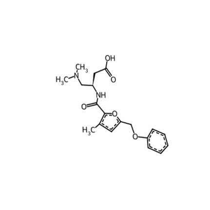 Cc1cc(COc2ccccc2)oc1C(=O)N[C@H](CC(=O)O)CN(C)C